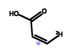 [2H]/C=C\C(=O)O